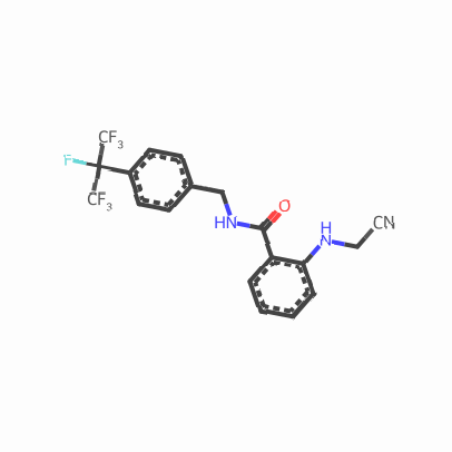 N#CCNc1ccccc1C(=O)NCc1ccc(C(F)(C(F)(F)F)C(F)(F)F)cc1